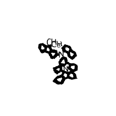 CC1(C)c2ccccc2-c2ccc(N(c3ccc4c(c3)c3ccccc3n4C3(c4ccccc4)c4ccccc4-c4ccccc43)c3cccc4ccccc34)cc21